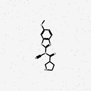 COc1ccc2nc(N(C#N)C(=O)C3CCNC3)sc2c1